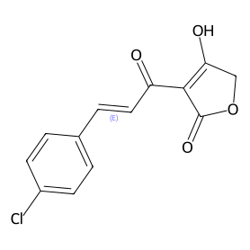 O=C(/C=C/c1ccc(Cl)cc1)C1=C(O)COC1=O